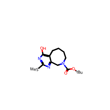 CSc1nc(O)c2c(n1)CN(C(=O)OC(C)(C)C)CCCC2